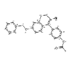 CC(=O)Oc1ccc(C2=C(Br)CCc3cc(OCc4ccccc4)ccc32)cc1